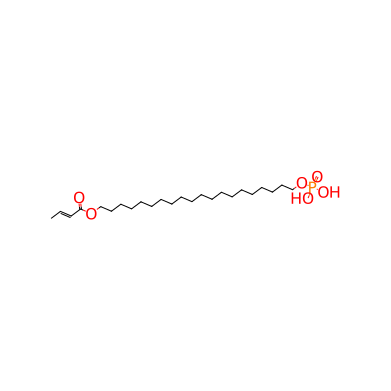 CC=CC(=O)OCCCCCCCCCCCCCCCCCCCCOP(=O)(O)O